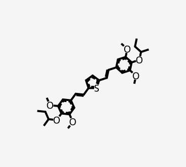 CCC(C)Oc1c(OC)cc(/C=C/c2ccc(/C=C/c3cc(OC)c(OC(C)CC)c(OC)c3)s2)cc1OC